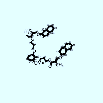 COc1cccc(OCCCOC(=O)C(C)=COc2ccc3ccccc3c2)c1OCCCOC(=O)C(C)=COc1ccc2ccccc2c1